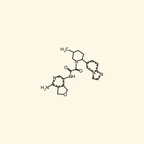 CC1CCC(c2ccc3nccn3c2)N(C(=O)C(=O)Nc2cnc(N)c3c2COC3)C1